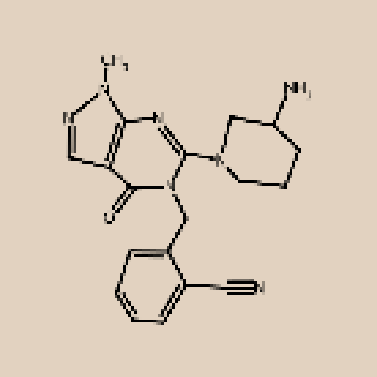 Cn1ncc2c(=O)n(Cc3ccccc3C#N)c(N3CCCC(N)C3)nc21